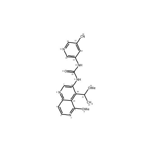 COc1nccc2ncc(NC(=O)Nc3cncc(C#N)c3)c(C(C)OC)c12